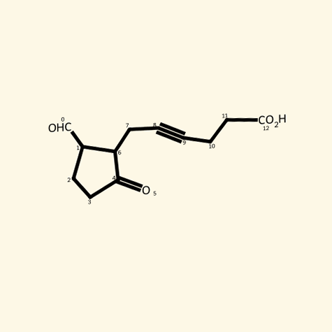 O=CC1CCC(=O)C1CC#CCCC(=O)O